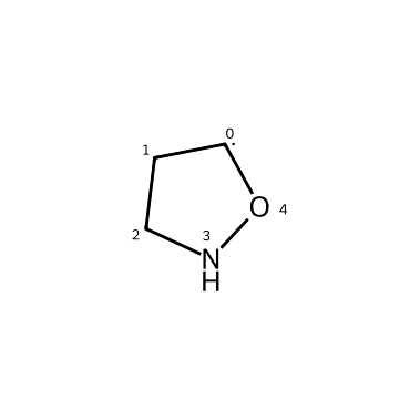 [CH]1CCNO1